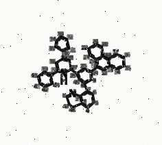 C1=Nc2c(cccc2-c2cc(-c3cc4ccccc4c4ccccc34)cc(C3C=C(c4ccccc4)C=C(c4ccccc4)N3)c2)CC1